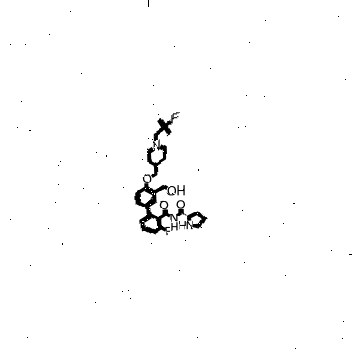 CC(C)(F)CN1CCC(COc2ccc(-c3cccc(F)c3C(=O)NC(=O)[C@@H]3CCCN3)cc2CO)CC1